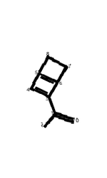 C=C(C)C1=CC2=C1CC2